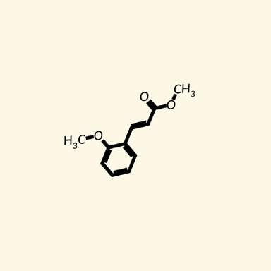 COC(=O)C=Cc1ccccc1OC